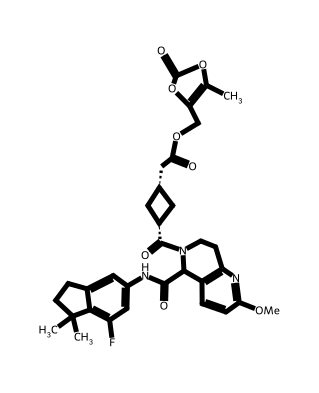 COc1ccc2c(n1)CCN(C(=O)[C@H]1C[C@@H](CC(=O)OCc3oc(=O)oc3C)C1)C2C(=O)Nc1cc(F)c2c(c1)CCC2(C)C